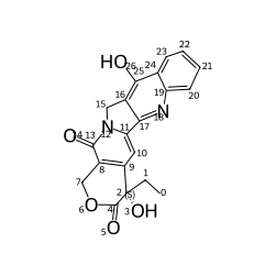 CC[C@@]1(O)C(=O)OCc2c1cc1n(c2=O)Cc2c-1nc1ccccc1c2O